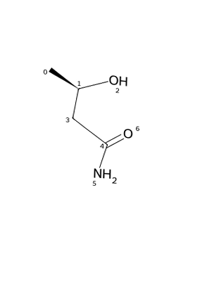 C[C@@H](O)CC(N)=O